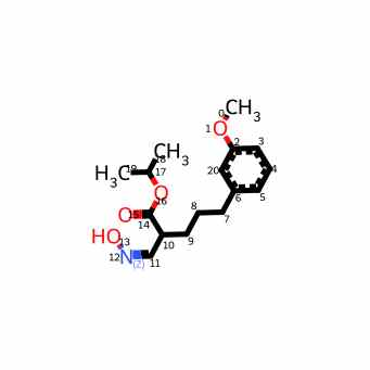 COc1cccc(CCCC(/C=N\O)C(=O)OC(C)C)c1